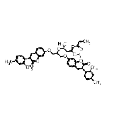 C=CC(=O)OC(C)CC(C)OC(COc1ccc2cc(-c3ccc(C)cc3C(F)(F)F)c(=O)oc2c1)COc1ccc2cc(-c3ccc(C)cc3C(F)(F)F)c(=O)oc2c1